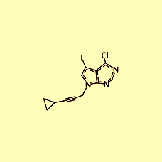 Clc1ncnc2c1c(I)cn2CC#CC1CC1